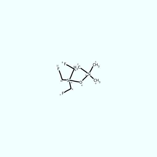 C[Si](C)(C)O[Si](CF)(CF)CF